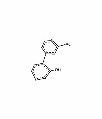 CC(=O)c1cc(-c2ccccc2O)ccn1